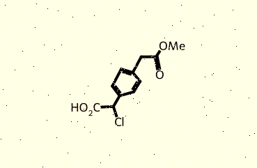 COC(=O)Cc1ccc(C(Cl)C(=O)O)cc1